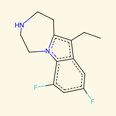 CCc1c2n(c3c(F)cc(F)cc13)CCNCC2